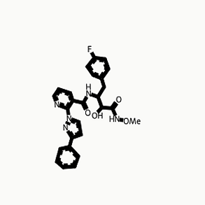 CONC(=O)C(O)C(Cc1ccc(F)cc1)NC(=O)c1cccnc1-n1ccc(-c2ccccc2)n1